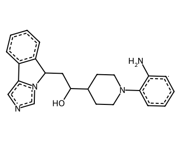 Nc1[c]cccc1N1CCC(C(O)CC2c3ccccc3-c3cncn32)CC1